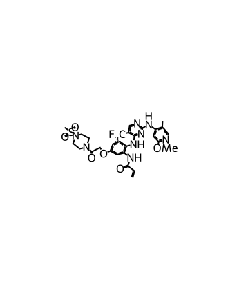 C=CC(=O)Nc1cc(OCC(=O)N2CCN(S(C)(=O)=O)CC2)ccc1Nc1nc(Nc2cc(OC)ncc2C)ncc1C(F)(F)F